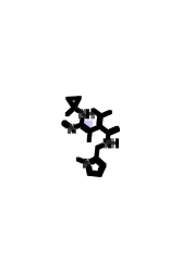 C=N/C(NC1(C)CC1)=C(\C)C(C(=C)NCc1cccn1C)=C(C)C